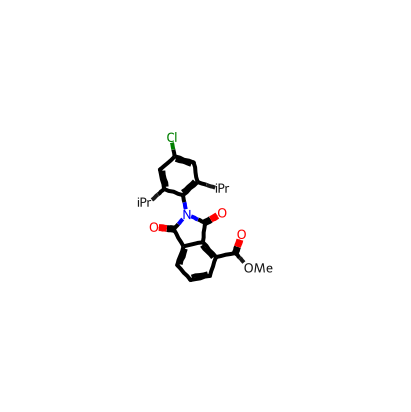 COC(=O)c1cccc2c1C(=O)N(c1c(C(C)C)cc(Cl)cc1C(C)C)C2=O